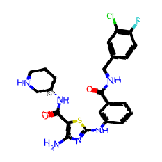 Nc1nc(Nc2cccc(C(=O)NCc3ccc(F)c(Cl)c3)c2)sc1C(=O)N[C@H]1CCCNC1